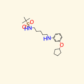 CC(C)(C)S(=O)(=O)NCCCCCNc1cccc(OC2CCCC2)c1